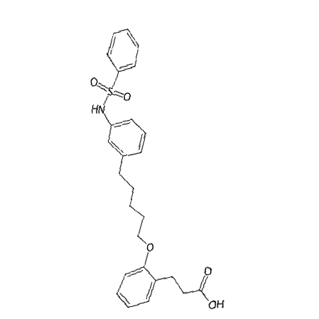 O=C(O)CCc1ccccc1OCCCCCc1cccc(NS(=O)(=O)c2ccccc2)c1